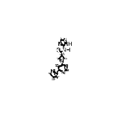 O=C(Nc1ncn[nH]1)C1CN(c2cc(-n3cccn3)ncn2)C1